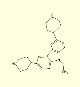 CCn1c2ccc(C3CCNCC3)cc2c2cc(C3CCNCC3)ccc21